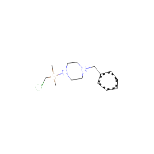 CS(C)(CCl)N1CCN(Cc2ccccc2)CC1